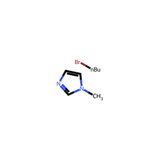 CCCCBr.Cn1ccnc1